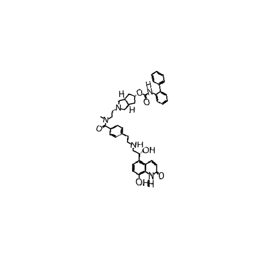 CN(CCN1C[C@H]2C[C@H](OC(=O)Nc3ccccc3-c3ccccc3)C[C@H]2C1)C(=O)c1ccc(CCNC[C@H](O)c2ccc(O)c3[nH]c(=O)ccc23)cc1